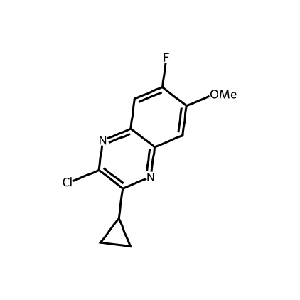 COc1cc2nc(C3CC3)c(Cl)nc2cc1F